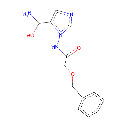 NC(O)c1cncn1NC(=O)COCc1ccccc1